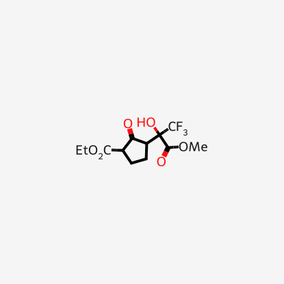 CCOC(=O)C1CCC(C(O)(C(=O)OC)C(F)(F)F)C1=O